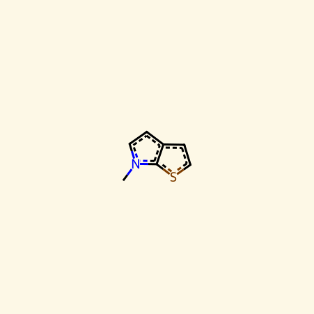 Cn1ccc2ccsc21